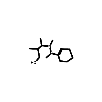 CC(CO)C(C)N(C)N(C)C1=CCCCC1